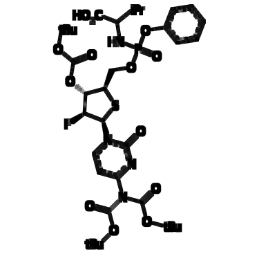 CC(C)C(NP(=O)(OC[C@H]1S[C@@H](n2ccc(N(C(=O)OC(C)(C)C)C(=O)OC(C)(C)C)nc2=O)[C@@H](F)[C@@H]1OC(=O)OC(C)(C)C)Oc1ccccc1)C(=O)O